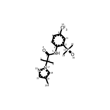 CC(C)(C(=O)Nc1ccc(C(F)(F)F)cc1P(C)(C)=O)n1cc(I)cn1